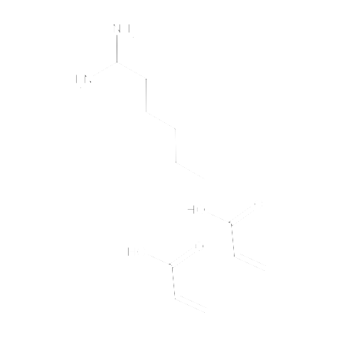 C=CC(=O)O.C=CC(=O)O.CCCCCC(N)N